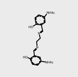 CC(=O)Nc1ccc(O)c(/C=N/CC/N=C/c2cc(NC(C)=O)ccc2O)c1